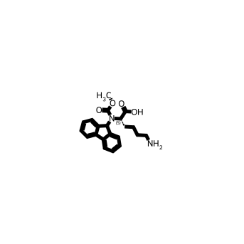 COC(=O)N(C1c2ccccc2-c2ccccc21)[C@@H](CCCCN)C(=O)O